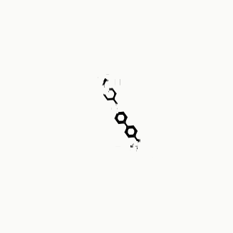 CN(C)C(=O)c1ccc(-c2ccc(OCC3CCN(CC(C)(C)F)CC3)cc2)cc1